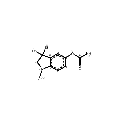 CCC1(CC)CN(C(C)(C)C)c2ccc(OC(N)=O)cc21